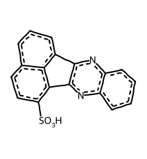 O=S(=O)(O)c1ccc2cccc3c2c1-c1nc2ccccc2nc1-3